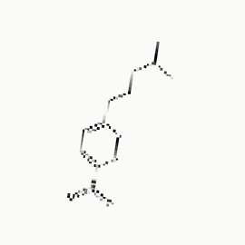 CC(C)CCCc1ccc([SH](=O)=O)cc1